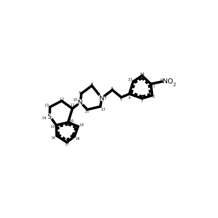 O=[N+]([O-])c1ccc(CCN2CCN(C3CCSc4ccccc43)CC2)cc1